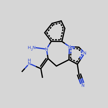 CN/C(C)=C1/Cc2c(C#N)ncn2-c2ccccc2N1N